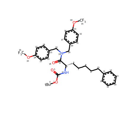 CC(C)(C)OC(=O)N[C@@H](CCC[CH]Cc1ccccc1)C(=O)N(Cc1ccc(OC(F)(F)F)cc1)Cc1ccc(OC(F)(F)F)cc1